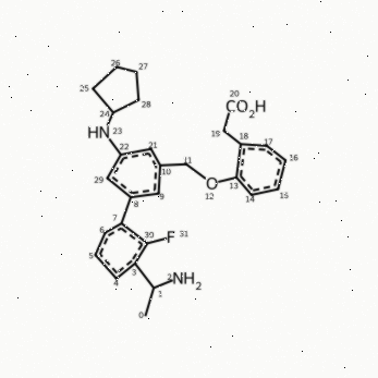 CC(N)c1cccc(-c2cc(COc3ccccc3CC(=O)O)cc(NC3CCCC3)c2)c1F